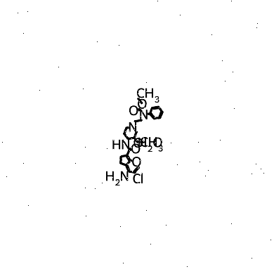 CCOC(=O)N(CCN1CCC(NC(=O)C2=C3OC=C(Cl)C(N)=C3CC2)C(OC)C1)c1ccccc1.O